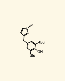 CC(C)n1ccc(Cc2cc(C(C)(C)C)c(O)c(C(C)(C)C)c2)c1